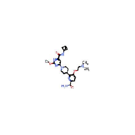 CCOc1nc(C(=O)NC23CC(C2)C3)cc(N2CCC(c3nc(C(N)=O)ccc3OCCN(C)C)CC2)n1